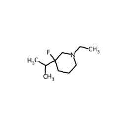 CCN1CCCC(F)(C(C)C)C1